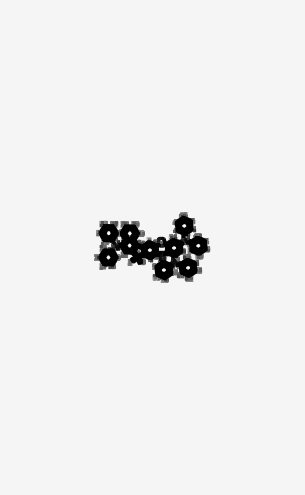 CC1(C)c2cc3c(cc2-c2c1cc(N(c1ccccc1)c1ccccc1)c1ccccc21)Oc1cc(N(c2ccccc2)c2ccccc2)cc2c1B3c1ccccc1N2c1ccccc1